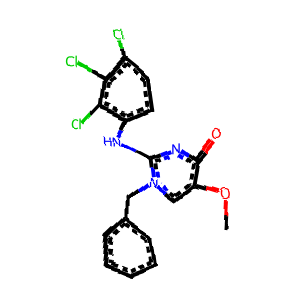 COc1cn(Cc2ccccc2)c(Nc2ccc(Cl)c(Cl)c2Cl)nc1=O